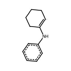 [C]1=C(Nc2ccccc2)CCCC1